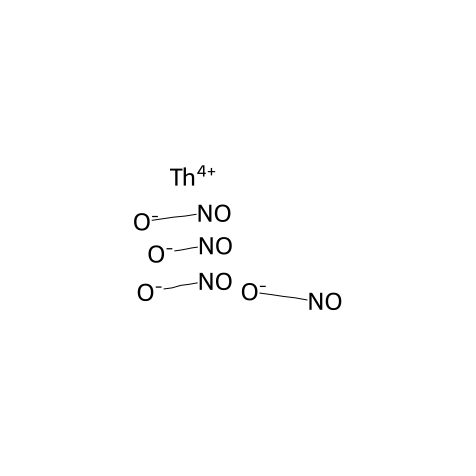 O=N[O-].O=N[O-].O=N[O-].O=N[O-].[Th+4]